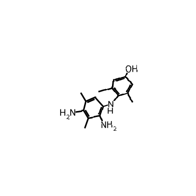 Cc1cc(Nc2c(C)cc(O)cc2C)c(N)c(C)c1N